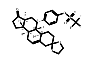 C[C@]12C[C@H](c3ccc(OS(=O)(=O)C(F)(F)F)cc3)[C@H]3[C@@H](CC=C4CC5(CC[C@@H]43)OCCO5)[C@@H]1CCC2=O